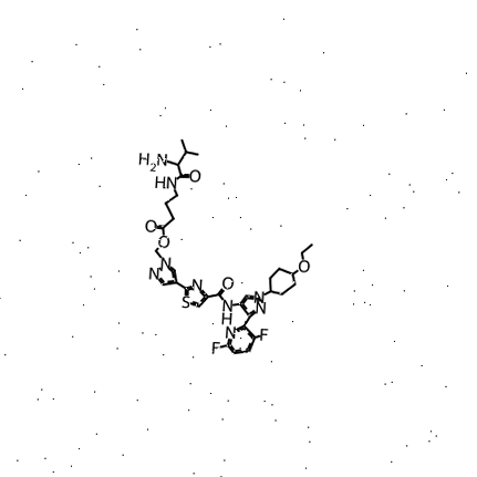 CCOC1CCC(n2cc(NC(=O)c3csc(-c4cnn(COC(=O)CCCNC(=O)C(N)C(C)C)c4)n3)c(-c3nc(F)ccc3F)n2)CC1